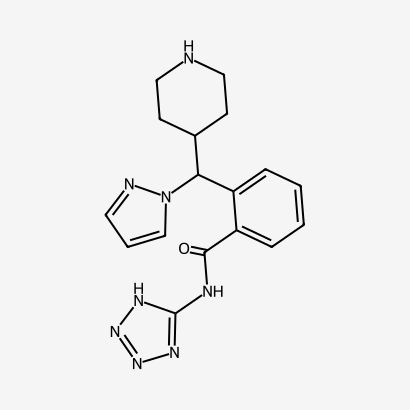 O=C(Nc1nnn[nH]1)c1ccccc1C(C1CCNCC1)n1cccn1